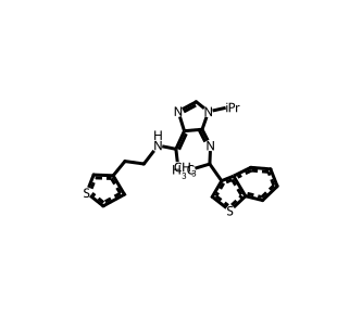 C/C(NCCc1ccsc1)=C1/N=CN(C(C)C)/C1=N/C(C)c1csc2ccccc12